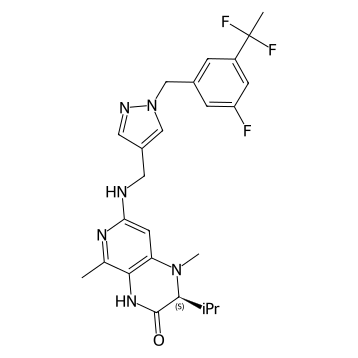 Cc1nc(NCc2cnn(Cc3cc(F)cc(C(C)(F)F)c3)c2)cc2c1NC(=O)[C@H](C(C)C)N2C